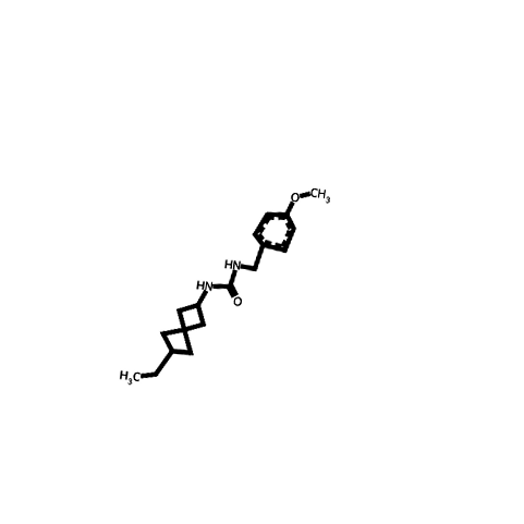 CCC1CC2(C1)CC(NC(=O)NCc1ccc(OC)cc1)C2